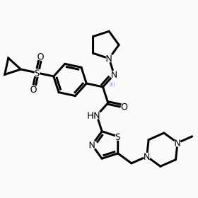 CN1CCN(Cc2cnc(NC(=O)/C(=N/N3CCCC3)c3ccc(S(=O)(=O)C4CC4)cc3)s2)CC1